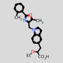 CCOC(Cc1ccc2c(ccn2Cc2nc(-c3ccccc3C)oc2C)c1)C(=O)O